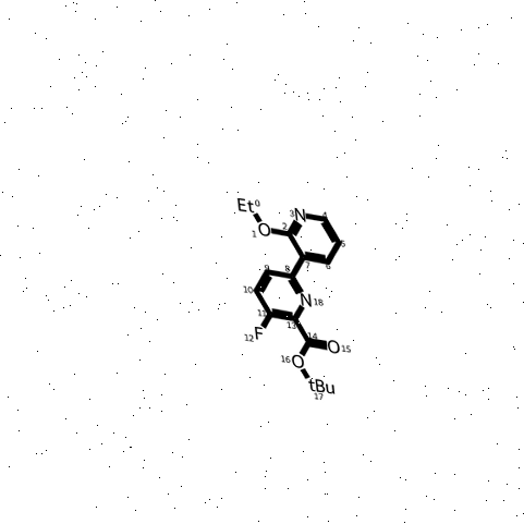 CCOc1ncccc1-c1ccc(F)c(C(=O)OC(C)(C)C)n1